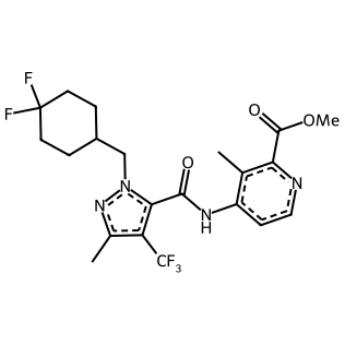 COC(=O)c1nccc(NC(=O)c2c(C(F)(F)F)c(C)nn2CC2CCC(F)(F)CC2)c1C